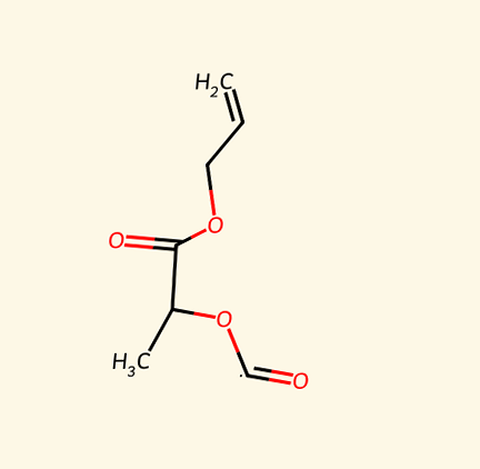 C=CCOC(=O)C(C)O[C]=O